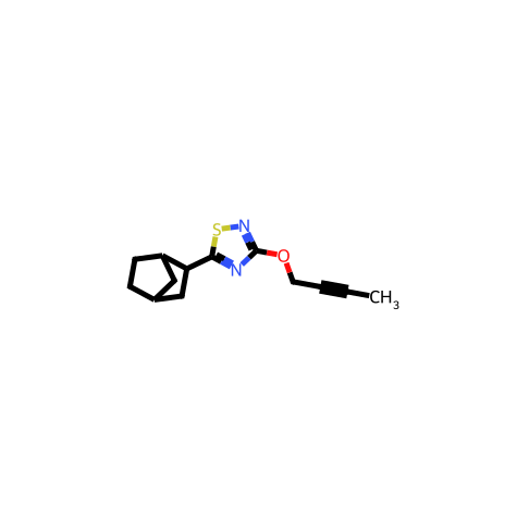 CC#CCOc1nsc(C2CC3CCC2C3)n1